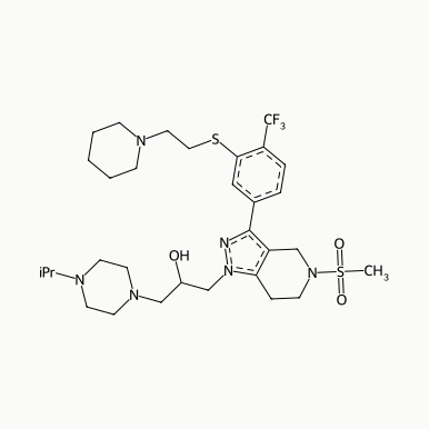 CC(C)N1CCN(CC(O)Cn2nc(-c3ccc(C(F)(F)F)c(SCCN4CCCCC4)c3)c3c2CCN(S(C)(=O)=O)C3)CC1